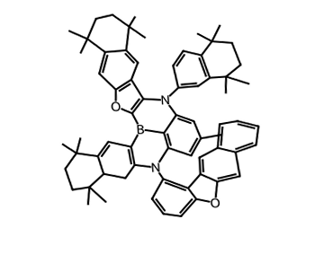 Cc1cc2c3c(c1)N(c1ccc4c(c1)C(C)(C)CCC4(C)C)c1c(oc4cc5c(cc14)C(C)(C)CCC5(C)C)B3C1=C(CC3C(=C1)C(C)(C)CCC3(C)C)N2c1cccc2oc3cc4ccccc4cc3c12